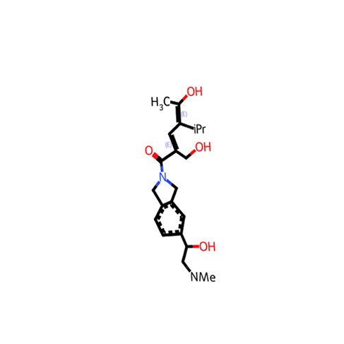 CNCC(O)c1ccc2c(c1)CN(C(=O)/C(=C/C(=C(\C)O)C(C)C)CO)C2